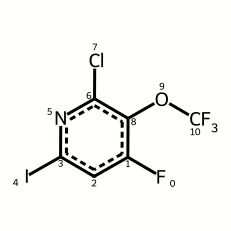 Fc1cc(I)nc(Cl)c1OC(F)(F)F